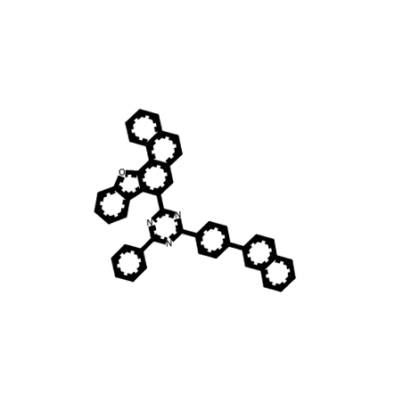 c1ccc(-c2nc(-c3ccc(-c4ccc5ccccc5c4)cc3)nc(-c3cc4ccc5ccccc5c4c4oc5ccccc5c34)n2)cc1